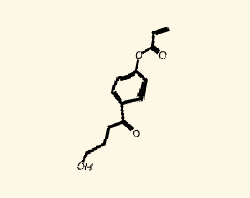 C=CC(=O)Oc1ccc(C(=O)CCCO)cc1